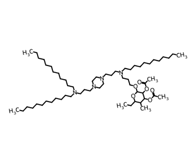 CCCCCCCCCCCCN(CCCCCCCCCCCC)CCCN1CCN(CCCN(CCCCCCCCCCCC)CCCOC2OC(CC)C(C)C(OC(C)=O)C2OC(C)=O)CC1